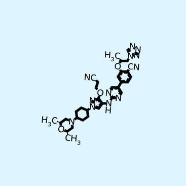 CC(Cn1cnnn1)Oc1cc(-c2cnc(Nc3cn(C4CCC(N5C[C@@H](C)O[C@@H](C)C5)CC4)nc3OCCC#N)nc2)ccc1C#N